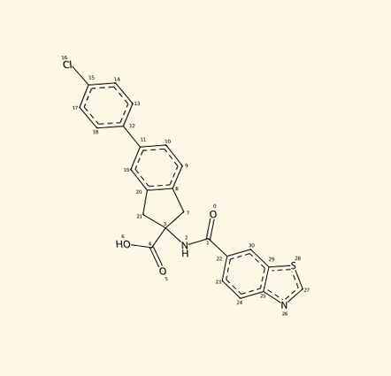 O=C(NC1(C(=O)O)Cc2ccc(-c3ccc(Cl)cc3)cc2C1)c1ccc2ncsc2c1